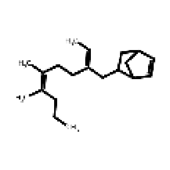 CC=C(CCC(C)=C(C)CCC)CC1CC2C=CC1C2